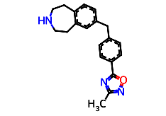 Cc1noc(-c2ccc(Cc3ccc4c(c3)CCNCC4)cc2)n1